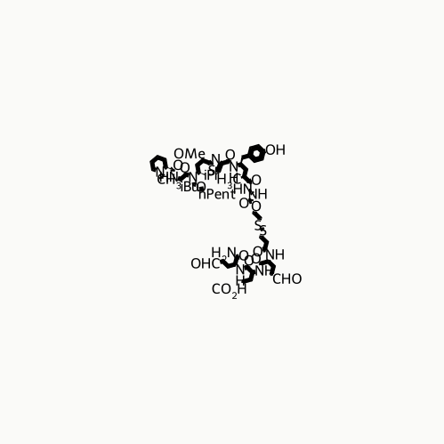 CCCCCOCN(C(=O)[C@@H](NC(=O)[C@H]1CCCCN1C)C(C)CC)[C@H](C[C@@H](OC)c1nc(C(=O)N[C@@H](Cc2ccc(O)cc2)C[C@H](C)C(=O)NNC(=O)OCCSSCCC(=O)NC(CCC=O)C(=O)NC(CCC(=O)O)C(=O)NC(CCC=O)C(N)=O)cs1)C(C)C